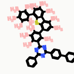 Bc1cc(-c2c(B)c(B)c(B)c(-c3nc(-c4ccccc4)nc(-c4ccc(-c5ccccc5)cc4)n3)c2B)c2sc3c(-c4c(B)c(B)c(B)c(B)c4B)c(B)c(B)c(B)c3c2c1B